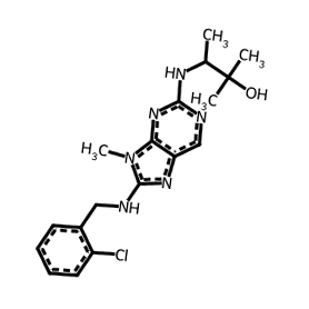 CC(Nc1ncc2nc(NCc3ccccc3Cl)n(C)c2n1)C(C)(C)O